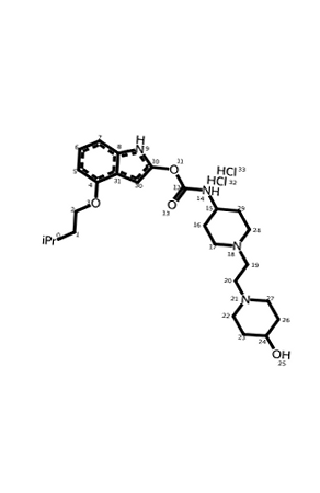 CC(C)CCOc1cccc2[nH]c(OC(=O)NC3CCN(CCN4CCC(O)CC4)CC3)cc12.Cl.Cl